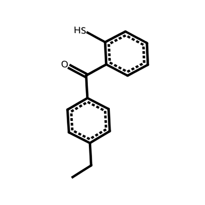 CCc1ccc(C(=O)c2ccccc2S)cc1